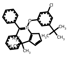 CC(C)(C)C1=[C]([Ti]([O]c2cc(Cl)cc(C(C)(C)C)c2)=[C](c2ccccc2)c2ccccc2)CC=C1